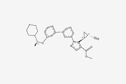 C#C[C@H]1C[C@@H]1c1c(C(=O)OC)cnn1-c1cccc(-c2cccc(O[C@@H](C)C3CCCCC3)c2)c1